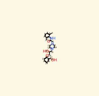 Cc1cccc(C)c1NC(=O)CN1CCN(CC(O)COc2ccccc2CO)CC1